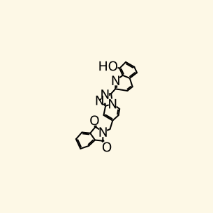 O=C1c2ccccc2C(=O)N1Cc1ccn2c(-c3ccc4cccc(O)c4n3)nnc2c1